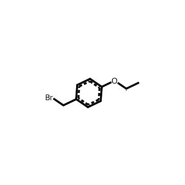 C[CH]Oc1ccc(CBr)cc1